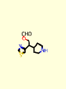 O=COCC(c1cscn1)C1CCNCC1